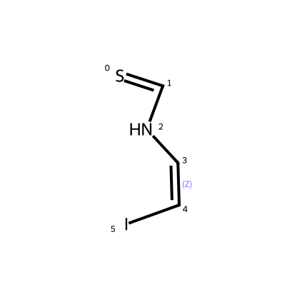 S=CN/C=C\I